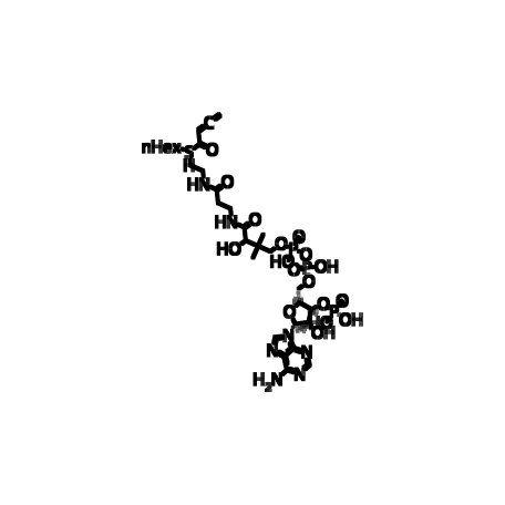 C=C=CC(=O)[SH](CCCCCC)CCNC(=O)CCNC(=O)C(O)C(C)(C)COP(=O)(O)OP(=O)(O)OC[C@H]1O[C@@H](n2cnc3c(N)ncnc32)[C@H](O)[C@@H]1OP(=O)(O)O